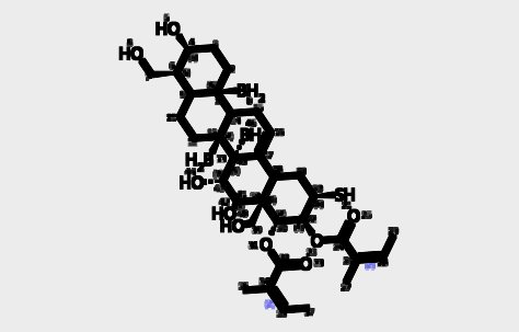 B[C@]12CC[C@H](O)[C@H](CO)C1CC[C@]1(B)C2CC=C2C3C[C@@H](S)[C@@H](OC(=O)/C(C)=C\C)[C@H](OC(=O)/C(C)=C\C)[C@]3(CO)[C@H](O)[C@H](O)[C@]21B